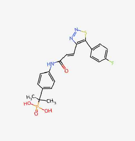 CC(C)(c1ccc(NC(=O)/C=C/c2nnsc2-c2ccc(F)cc2)cc1)P(=O)(O)O